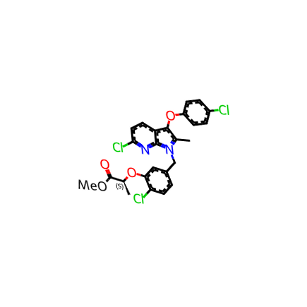 COC(=O)[C@H](C)Oc1cc(Cn2c(C)c(Oc3ccc(Cl)cc3)c3ccc(Cl)nc32)ccc1Cl